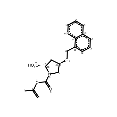 C=C(C)OC(=O)N1C[C@H](OCc2cccc3cccnc23)C[C@H]1C(=O)O